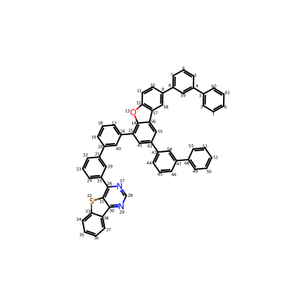 c1ccc(-c2cccc(-c3ccc4oc5c(-c6cccc(-c7cccc(-c8ncnc9c8sc8ccccc89)c7)c6)cc(-c6cccc(-c7ccccc7)c6)cc5c4c3)c2)cc1